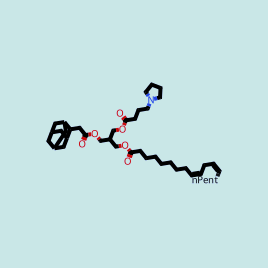 CCCCC/C=C\C/C=C\CCCCCCCC(=O)OCC(COC(=O)CCCN1CCCC1)COC(=O)CC1C2CC3CC(C2)CC1C3